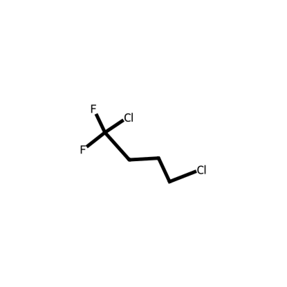 FC(F)(Cl)CCCCl